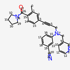 Cc1cc(C#CCN(Cc2cccnc2)c2cccc(C#N)c2)ccc1C(=O)N1CCCC1